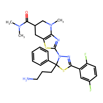 CN(C)C(=O)C1Cc2sc(N3N=C(c4cc(F)ccc4F)SC3(CCCN)c3ccccc3)nc2N(C)C1